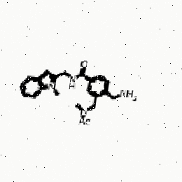 CC(=O)N(C)Cc1cc(C(=O)NCc2cc3ccccc3n2C)ccc1CN